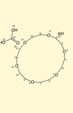 C1COCCOCCOCCOCCOCCO1.O=C(O)O.[KH]